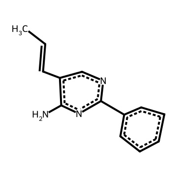 CC=Cc1cnc(-c2ccccc2)nc1N